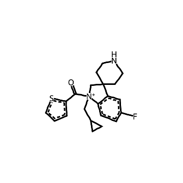 O=C(c1cccs1)[N+]1(CC2CC2)CC2(CCNCC2)c2cc(F)ccc21